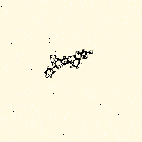 CN(C(=O)N1CCOCC1)[C@@H](c1ccc(N2CCCc3c2cnc2cc(Cl)nn32)cc1)C(F)(F)F